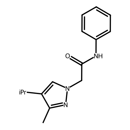 Cc1nn(CC(=O)Nc2ccccc2)cc1C(C)C